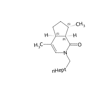 CCCCCCCCN1C=C(C)[C@H]2CC[C@H](C)[C@H]2C1=O